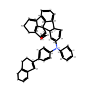 C1=CC2=C(CC1)CCC(c1ccc(N(C3=CC4C(C=C3)c3cccc5c3C43C4=C(CCC=C45)c4ccccc43)c3ccccc3)cc1)=C2